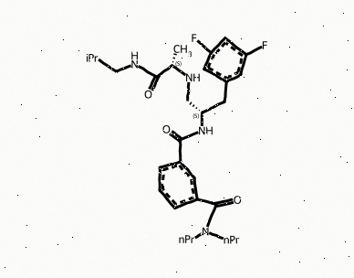 CCCN(CCC)C(=O)c1cccc(C(=O)N[C@H](CN[C@@H](C)C(=O)NCC(C)C)Cc2cc(F)cc(F)c2)c1